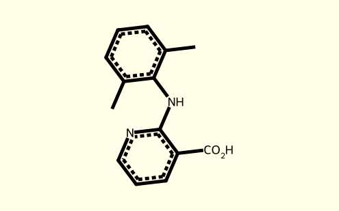 Cc1cccc(C)c1Nc1ncccc1C(=O)O